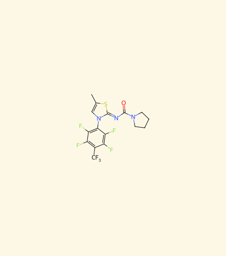 Cc1cn(-c2c(F)c(F)c(C(F)(F)F)c(F)c2F)/c(=N/C(=O)N2CCCC2)s1